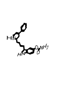 NC(=O)Oc1ccc2[nH]cc(CCCCC3CC(c4ccccc4)=CCN3)c2c1